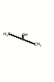 CCCCCC=CCCCCCN(CCO)CCCCCCCCCCCC